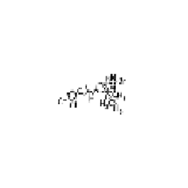 CC(C)(C)OC(=O)N1C[C@@H](NC(=O)COc2ccc(Cl)c(Cl)c2)CC[C@@H]1c1nnc(Br)o1